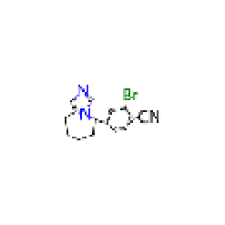 N#Cc1ccc(C2CCCCc3cncn32)cc1Br